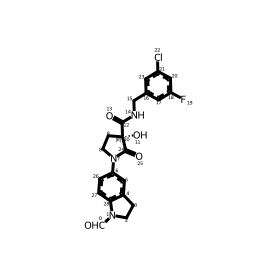 O=CN1CCc2cc(N3CC[C@@](O)(C(=O)NCc4cc(F)cc(Cl)c4)C3=O)ccc21